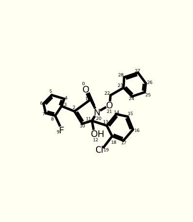 O=C1C(c2ccccc2F)=CC(O)(c2ccccc2Cl)N1OCc1ccccc1